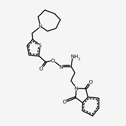 NC(CCN1C(=O)c2ccccc2C1=O)=NOC(=O)c1ccc(CN2CCCCCC2)s1